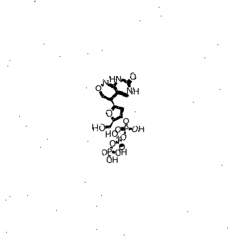 O=C1NC=C2C(=NOCC2[C@H]2C[C@H](OP(=O)(O)OP(=O)(O)OP(=O)(O)O)[C@@H](CO)O2)N1